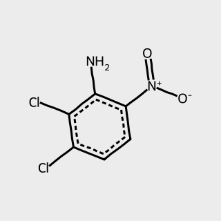 Nc1c([N+](=O)[O-])ccc(Cl)c1Cl